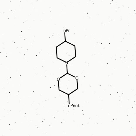 CCCCCC1COC(N2CCC(CCC)CC2)OC1